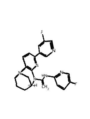 C=C(Nc1ccc(F)cn1)N1c2nc(-c3cncc(F)c3)ccc2N2CCC[C@H]1C2